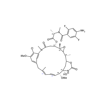 COc1cc2cc(c1Cl)N(C)C(=O)C[C@H](OC(=O)[C@H](C)N(C)C(=O)c1cc(F)c(N)cc1F)[C@]1(C)OC1[C@H](C)C1C[C@@](O)(NC(=O)O1)[C@H](OC)/C=C/C=C(\C)C2